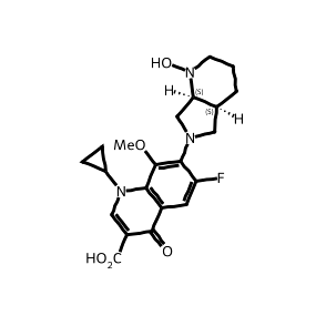 COc1c(N2C[C@@H]3CCCN(O)[C@@H]3C2)c(F)cc2c(=O)c(C(=O)O)cn(C3CC3)c12